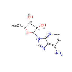 COC1OC(n2cnc3c(N)ccnc32)C(O)C1O